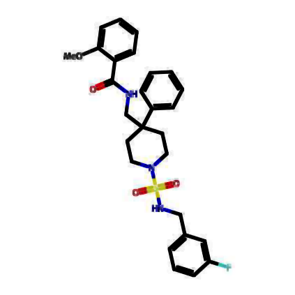 COc1ccccc1C(=O)NCC1(c2ccccc2)CCN(S(=O)(=O)NCc2cccc(F)c2)CC1